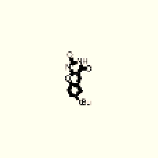 CC(C)(C)c1ccc2oc3nc(=O)[nH]c(=O)c-3cc2c1